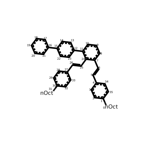 CCCCCCCCc1ccc(C=Cc2cccc(-c3ccc(-c4ccccc4)cc3)c2C=Cc2ccc(CCCCCCCC)cc2)cc1